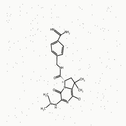 CN(C)Nc1nc(Cl)c2n(c1=O)[C@H](C(=O)NCc1ccc(C(=N)N)cc1)CC2(C)C